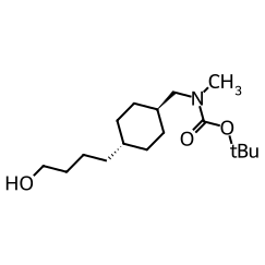 CN(C[C@H]1CC[C@H](CCCCO)CC1)C(=O)OC(C)(C)C